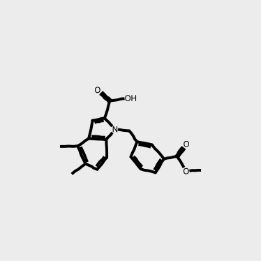 COC(=O)c1cccc(Cn2c(C(=O)O)cc3c(C)c(C)ccc32)c1